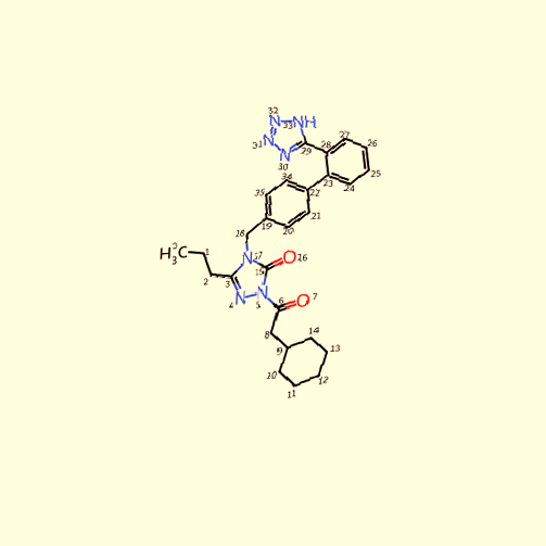 CCCc1nn(C(=O)CC2CCCCC2)c(=O)n1Cc1ccc(-c2ccccc2-c2nnn[nH]2)cc1